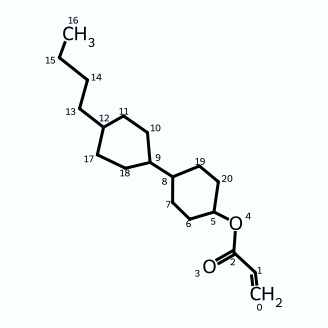 C=CC(=O)OC1CCC(C2CCC(CCCC)CC2)CC1